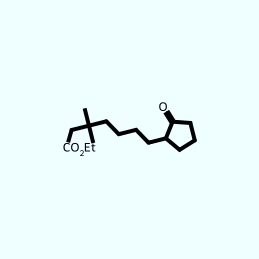 CCOC(=O)CC(C)(C)CCCCC1CCCC1=O